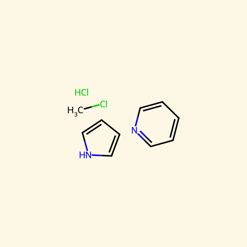 CCl.Cl.c1cc[nH]c1.c1ccncc1